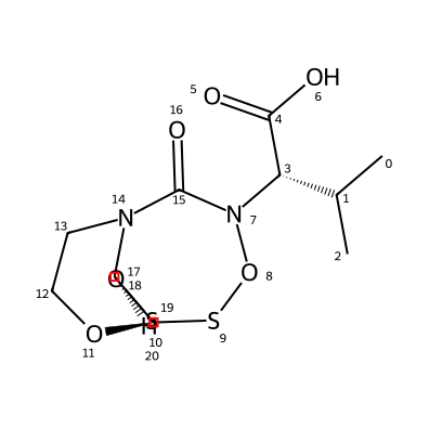 CC(C)[C@@H](C(=O)O)N1OS[C@]23OCCN(C1=O)[C@H]2OS3